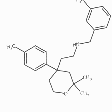 Cc1ccc(C2(CCNCc3cccc(C(F)(F)F)c3)CCOC(C)(C)C2)cc1